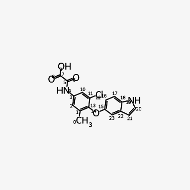 Cc1cc(NC(=O)C(=O)O)cc(Cl)c1Oc1ccc2[nH]ccc2c1